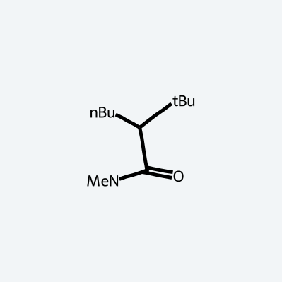 [CH2]C(C)(C)C(CCCC)C(=O)NC